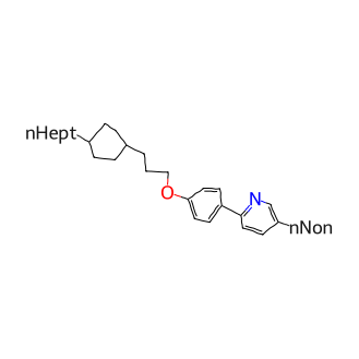 CCCCCCCCCc1ccc(-c2ccc(OCCCC3CCC(CCCCCCC)CC3)cc2)nc1